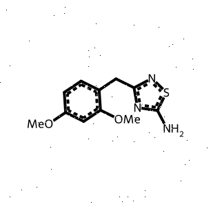 COc1ccc(Cc2nsc(N)n2)c(OC)c1